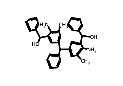 Cc1cc(C(c2ccccc2)c2cc(C)c(N)c(C(O)c3ccccc3)c2)cc(C(O)c2ccccc2)c1N